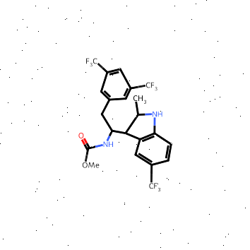 COC(=O)NC(Cc1cc(C(F)(F)F)cc(C(F)(F)F)c1)C1c2cc(C(F)(F)F)ccc2NC1C